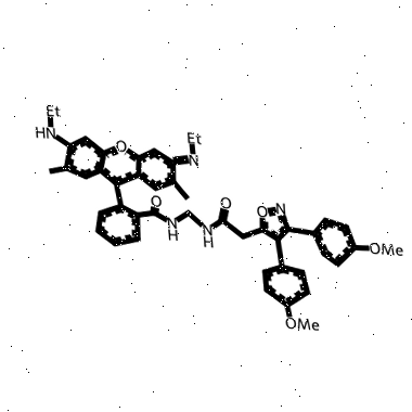 CC/N=c1\cc2oc3cc(NCC)c(C)cc3c(-c3ccccc3C(=O)NCNC(=O)Cc3onc(-c4ccc(OC)cc4)c3-c3ccc(OC)cc3)c-2cc1C